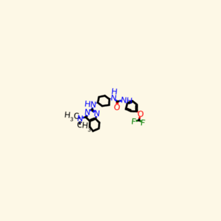 CN(C)c1nc(N[C@H]2CC[C@@H](NC(=O)Nc3ccc(OC(F)F)cc3)CC2)nc2c1CCCC2